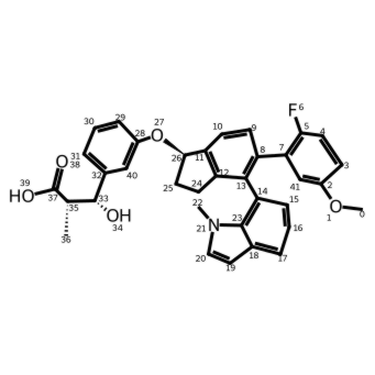 COc1ccc(F)c(-c2ccc3c(c2-c2cccc4ccn(C)c24)CC[C@H]3Oc2cccc([C@H](O)[C@H](C)C(=O)O)c2)c1